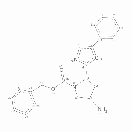 N[C@H]1C[C@@H](c2ncc(-c3ccccc3)o2)N(C(=O)OCc2ccccc2)C1